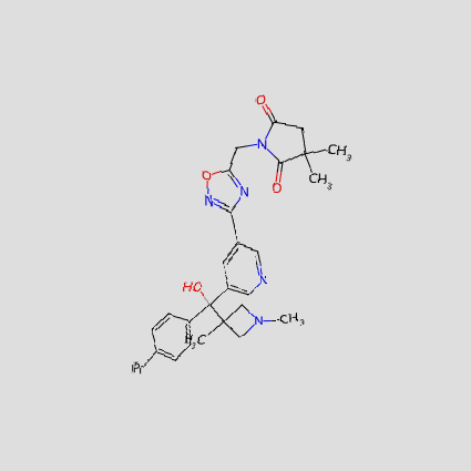 CC(C)c1ccc(C(O)(c2cncc(-c3noc(CN4C(=O)CC(C)(C)C4=O)n3)c2)C2(C)CN(C)C2)cc1